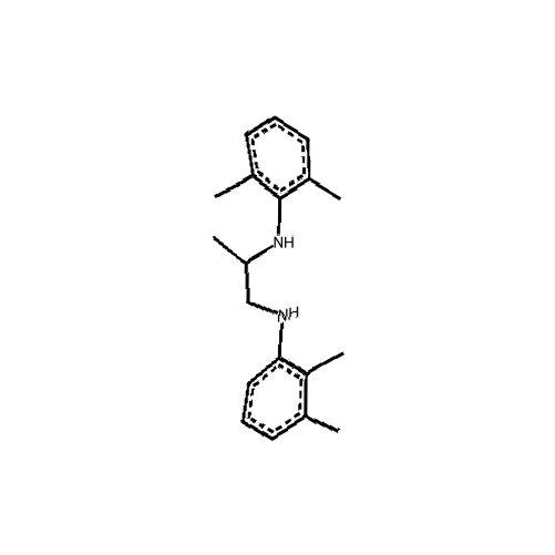 Cc1cccc(NCC(C)Nc2c(C)cccc2C)c1C